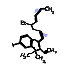 C=CC1=C(/C=C\CC(CC)C/C=C\C)c2ccc(I)cc2C1(C)C